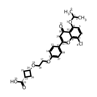 CC(C)Oc1ccc(Cl)c2oc(-c3ccc(OCCO[C@H]4C[C@@H](C(=O)O)C4)cc3)cc(=O)c12